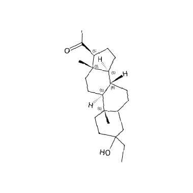 CCC1(O)CC[C@@]2(C)C(CC[C@H]3[C@@H]4CC[C@H](C(C)=O)[C@@]4(C)CC[C@@H]32)C1